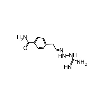 N=C(N)NNN=CCc1ccc(C(N)=O)cc1